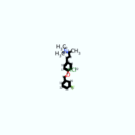 CC(CCc1ccc(OCc2cccc(F)c2)cc1)N(C)C.Cl